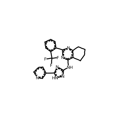 FC(F)(F)c1ccccc1-c1nc2c(c(Nc3n[nH]c(-c4cccnc4)n3)n1)CCCC2